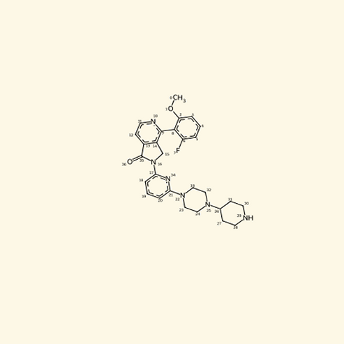 COc1cccc(F)c1-c1nccc2c1CN(c1cccc(N3CCN(C4CCNCC4)CC3)n1)C2=O